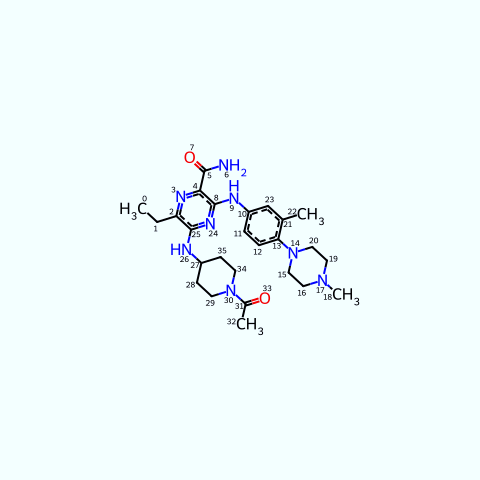 CCc1nc(C(N)=O)c(Nc2ccc(N3CCN(C)CC3)c(C)c2)nc1NC1CCN(C(C)=O)CC1